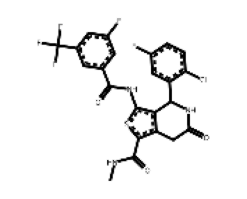 CNC(=O)c1sc(NC(=O)c2cc(F)cc(C(F)(F)F)c2)c2c1CC(=O)NC2c1cc(F)ccc1Cl